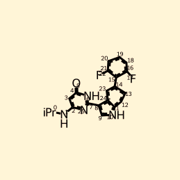 CC(C)Nc1cc(=O)[nH]c(-c2c[nH]c3ccc(-c4c(F)cccc4F)cc23)n1